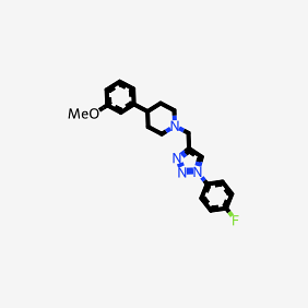 COc1cccc(C2CCN(Cc3cn(-c4ccc(F)cc4)nn3)CC2)c1